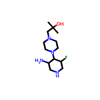 CC(C)(O)CN1CCN(C2C(N)CNCC2F)CC1